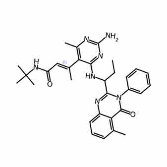 CCC(Nc1nc(N)nc(C)c1/C(C)=C/C(=O)NC(C)(C)C)c1nc2cccc(C)c2c(=O)n1-c1ccccc1